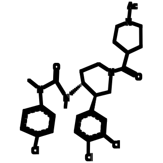 CC(=O)N1CCC(C(=O)N2CC[C@@H](N(C)C(=O)N(C)c3ccc(Cl)cc3)[C@H](c3ccc(Cl)c(Cl)c3)C2)CC1